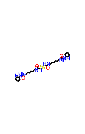 O=C(CSSCC(=O)NCCCCCCNC(=O)Nc1ccccc1)NCCCCCCNC(=O)Nc1ccccc1